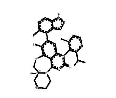 Cc1ccnc(C(C)C)c1-n1c(=O)nc2c3c(c(F)c(-c4c(C)ccc5[nH]ncc45)cc31)OC[C@H]1CNCCN21